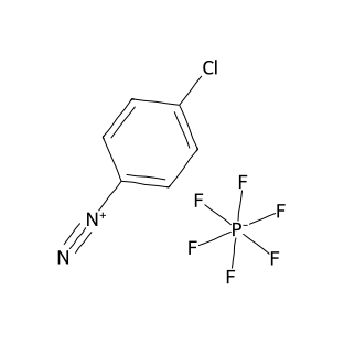 F[P-](F)(F)(F)(F)F.N#[N+]c1ccc(Cl)cc1